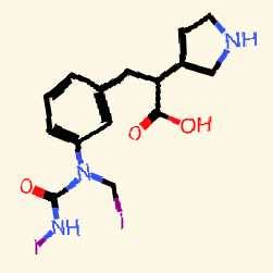 O=C(O)C(Cc1cccc(N(CI)C(=O)NI)c1)C1CCNC1